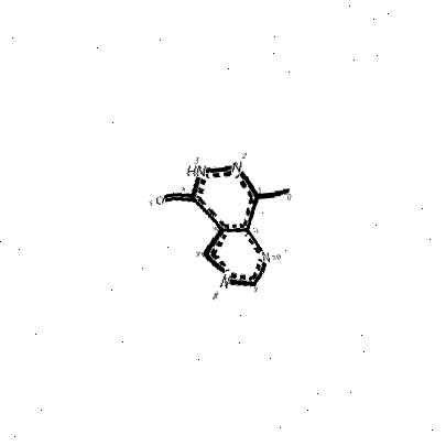 Cc1n[nH]c(=O)c2cncnc12